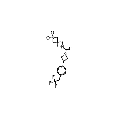 O=C(N1CC(c2ccc(CC(F)(F)F)cc2)C1)N1CC2(C1)CS(=O)(=O)C2